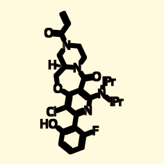 C=CC(=O)N1CCN2C(=O)c3c(N(C(C)C)C(C)C)nc(-c4c(O)cccc4F)c(Cl)c3OC[C@H]2C1